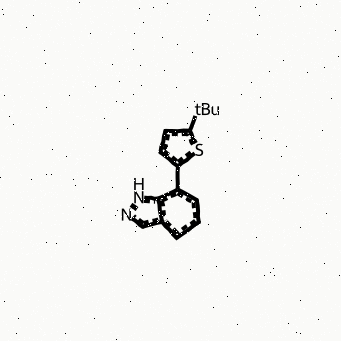 CC(C)(C)c1ccc(-c2cccc3cn[nH]c23)s1